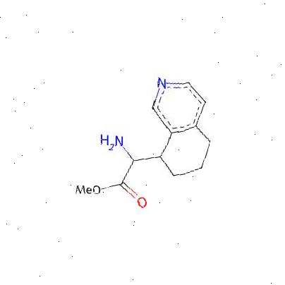 COC(=O)C(N)C1CCCc2ccncc21